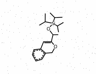 CC(O[Si](C(C)C)(C(C)C)C(C)C)C1=Cc2ccccc2CO1